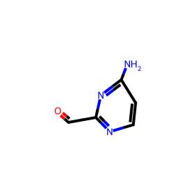 Nc1ccnc(C=O)n1